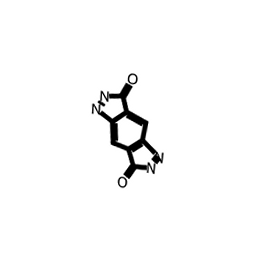 O=c1nnc2cc3c(=O)nnc3cc12